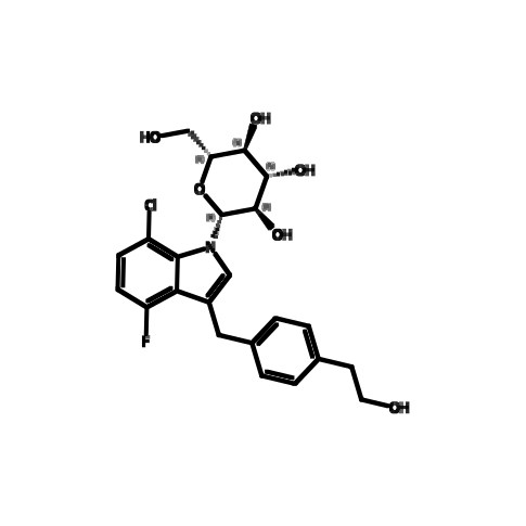 OCCc1ccc(Cc2cn([C@@H]3O[C@H](CO)[C@@H](O)[C@H](O)[C@H]3O)c3c(Cl)ccc(F)c23)cc1